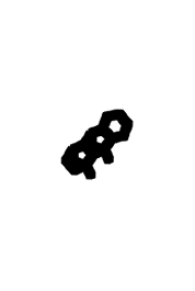 CC12C=CC(C1)C1C3CC(C)(C4CCCCC34)C12